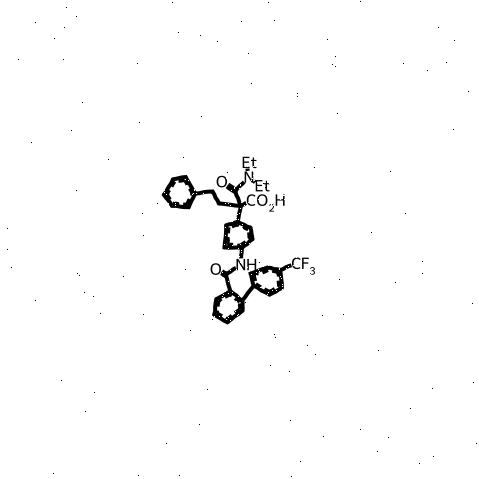 CCN(CC)C(=O)C(CCc1ccccc1)(C(=O)O)c1ccc(NC(=O)c2ccccc2-c2ccc(C(F)(F)F)cc2)cc1